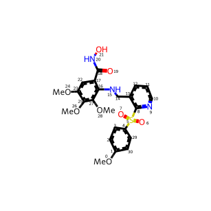 COc1ccc(S(=O)(=O)c2ncccc2CNc2c(C(=O)NO)cc(OC)c(OC)c2OC)cc1